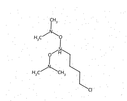 CN(C)O[SiH](CCCCCl)ON(C)C